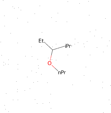 CCCOC(CC)[C](C)C